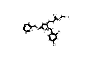 CCOC(=O)CCc1cc(OCc2ccccn2)nn1Cc1ccc(Cl)cc1Cl